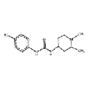 CC1CC(NC(=O)Nc2ccc(C#N)cc2)CCN1C